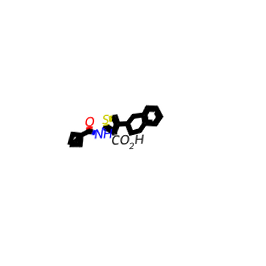 O=C(O)c1c(C2CCc3ccccc3C2)csc1NC(=O)C12CC(C1)C2